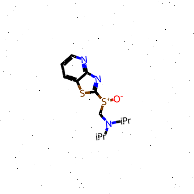 CC(C)N(C[S+]([O-])c1nc2ncccc2s1)C(C)C